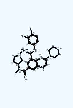 CC(Nc1ccc(F)c(F)c1)c1cc(C(=O)N(C)C2CCN(C=O)C2)cc2ncc(N3CCOCC3)nc12